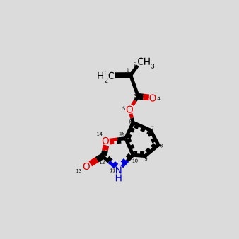 C=C(C)C(=O)Oc1cccc2[nH]c(=O)oc12